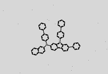 c1ccc(-c2ccc(N(c3ccc4ccccc4c3)c3ccc4c5ccc(-c6ccccc6)cc5n(-c5ccc(-c6ccccc6)cc5)c4c3)cc2)cc1